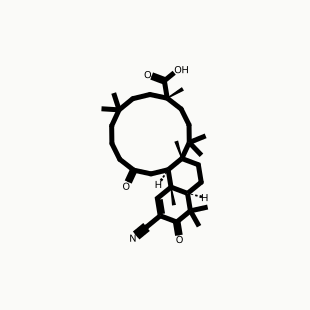 CC1(C)CCCC(=O)C[C@@H]2[C@@]3(C)C=C(C#N)C(=O)C(C)(C)[C@@H]3CC[C@@]2(C)C(C)(C)CC[C@@](C)(C(=O)O)CC1